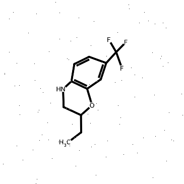 CCC1CNc2ccc(C(F)(F)F)cc2O1